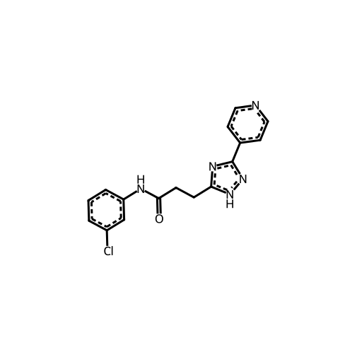 O=C(CCc1nc(-c2ccncc2)n[nH]1)Nc1cccc(Cl)c1